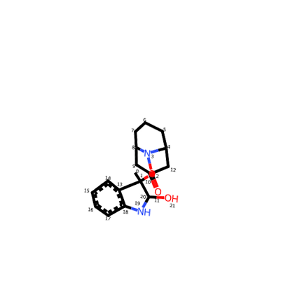 CC1(ON2C3CCCC2CC(=O)C3)c2ccccc2NC1O